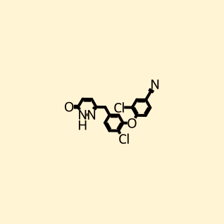 N#Cc1ccc(Oc2cc(Cc3ccc(=O)[nH]n3)ccc2Cl)c(Cl)c1